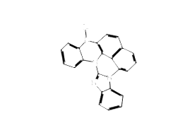 BrB1c2ccccc2-n2c3c1ccc1cccc(c13)n1c3ccccc3nc21